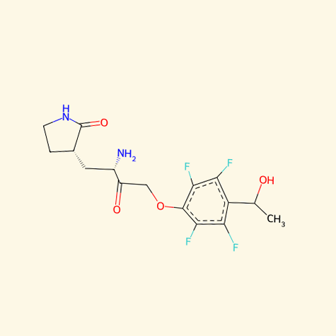 CC(O)c1c(F)c(F)c(OCC(=O)[C@@H](N)C[C@@H]2CCNC2=O)c(F)c1F